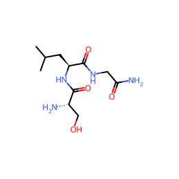 CC(C)C[C@H](NC(=O)[C@@H](N)CO)C(=O)NCC(N)=O